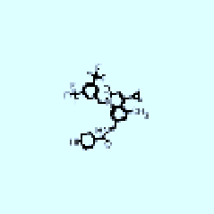 Cc1cc(CNC(=O)C2CCNCC2)cc2c1c(C1CC1)cc(=O)n2Cc1cc(C(F)(F)F)cc(C(F)(F)F)c1